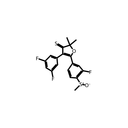 C[S+]([O-])c1ccc(C2=C(c3cc(F)cc(F)c3)C(=S)C(C)(C)O2)cc1F